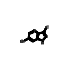 CC(C)(C)c1cnc2c(Cl)n[nH]c2c1